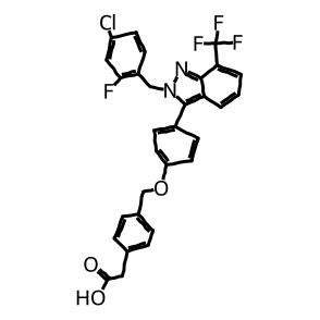 O=C(O)Cc1ccc(COc2ccc(-c3c4cccc(C(F)(F)F)c4nn3Cc3ccc(Cl)cc3F)cc2)cc1